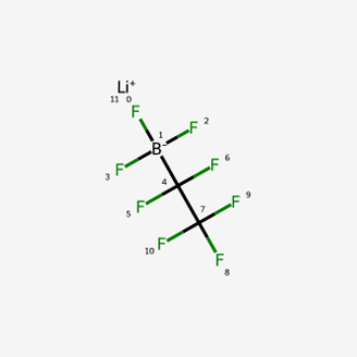 F[B-](F)(F)C(F)(F)C(F)(F)F.[Li+]